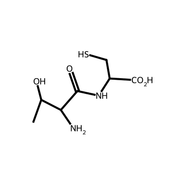 CC(O)C(N)C(=O)NC(CS)C(=O)O